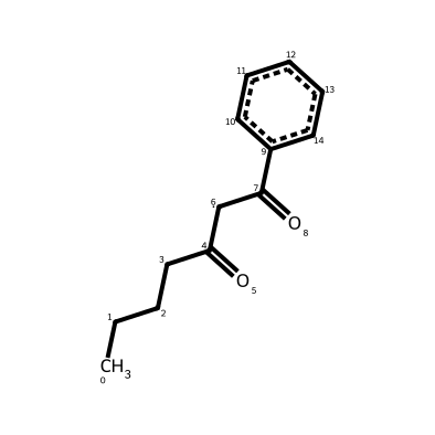 CCCCC(=O)[CH]C(=O)c1ccccc1